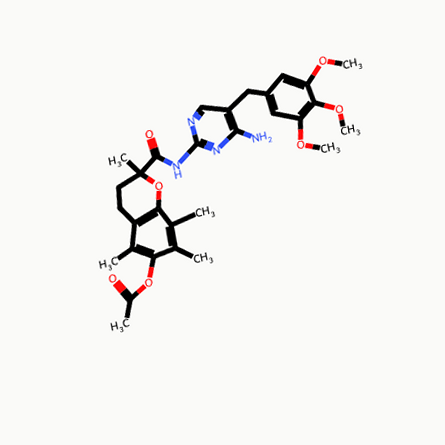 COc1cc(Cc2cnc(NC(=O)C3(C)CCc4c(C)c(OC(C)=O)c(C)c(C)c4O3)nc2N)cc(OC)c1OC